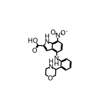 O=C(O)c1cc2c(Nc3ccccc3C3COCCN3)ccc([N+](=O)[O-])c2[nH]1